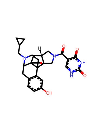 O=C(c1c[nH]c(=O)[nH]c1=O)N1C[C@H]2CC34CCC1C2C31CCN(CC2CC2)C4Cc2ccc(O)cc21